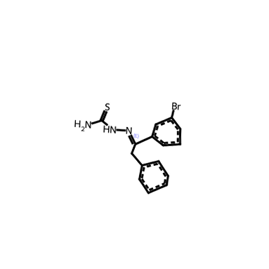 NC(=S)N/N=C(\Cc1ccccc1)c1cccc(Br)c1